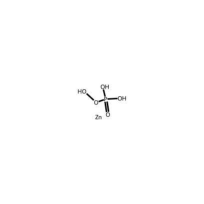 O=P(O)(O)OO.[Zn]